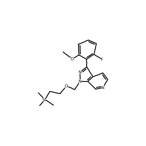 COc1cccc(F)c1-c1nn(COCC[Si](C)(C)C)c2cnccc12